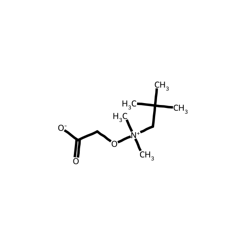 CC(C)(C)C[N+](C)(C)OCC(=O)[O-]